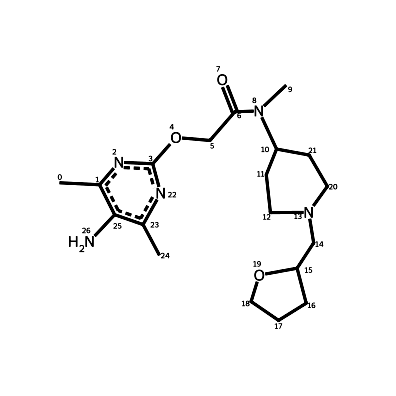 Cc1nc(OCC(=O)N(C)C2CCN(CC3CCCO3)CC2)nc(C)c1N